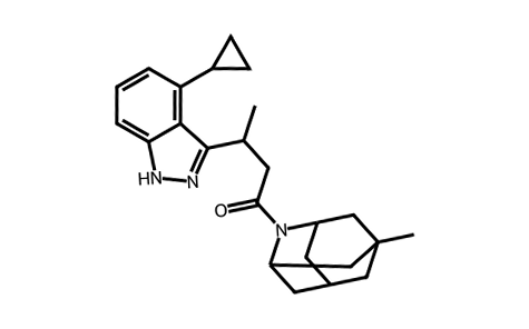 CC(CC(=O)N1C2CC3CC1CC(C)(C3)C2)c1n[nH]c2cccc(C3CC3)c12